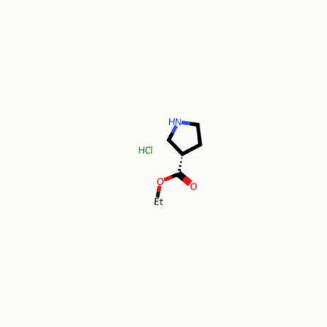 CCOC(=O)[C@H]1CCNC1.Cl